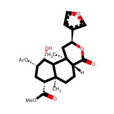 COC(=O)[C@@H]1C[C@H](OC(C)=O)[C@H](O)C2[C@@]1(C)CC[C@H]1C(=O)O[C@H](c3ccoc3)C[C@]21C